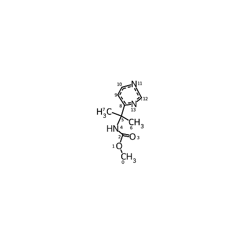 COC(=O)NC(C)(C)c1ccn[c]n1